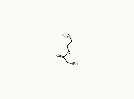 CC(C)(C)CC(=O)OCCS(=O)(=O)O